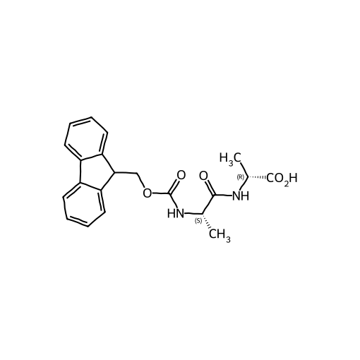 C[C@H](NC(=O)OCC1c2ccccc2-c2ccccc21)C(=O)N[C@H](C)C(=O)O